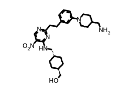 NCC1CCN(c2cccc(CCc3ncc([N+](=O)[O-])c(NC[C@H]4CC[C@H](CO)CC4)n3)c2)CC1